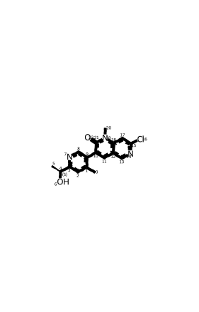 Cc1cc([C@H](C)O)ncc1-c1cc2cnc(Cl)cc2n(C)c1=O